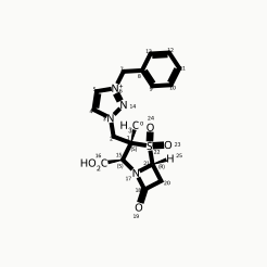 C[C@]1(Cn2cc[n+](Cc3ccccc3)n2)[C@H](C(=O)O)N2C(=O)C[C@H]2S1(=O)=O